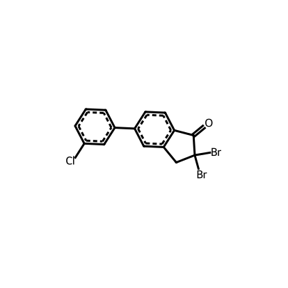 O=C1c2ccc(-c3cccc(Cl)c3)cc2CC1(Br)Br